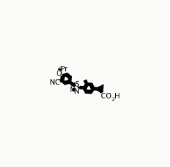 Cc1cc(C2CC2C(=O)O)ccc1-c1nnc(-c2ccc(OC(C)C)c(C#N)c2)s1